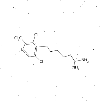 NC(N)CCCCCc1c(Cl)cnc(C(Cl)(Cl)Cl)c1Cl